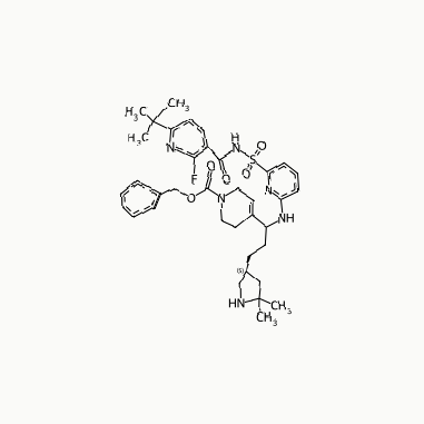 CC1(C)C[C@H](CCC(Nc2cccc(S(=O)(=O)NC(=O)c3ccc(C(C)(C)C)nc3F)n2)C2=CCN(C(=O)OCc3ccccc3)CC2)CN1